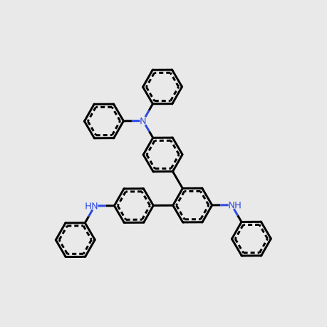 c1ccc(Nc2ccc(-c3ccc(Nc4ccccc4)cc3-c3ccc(N(c4ccccc4)c4ccccc4)cc3)cc2)cc1